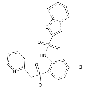 O=S(=O)(Cc1ccccn1)c1ccc(Cl)cc1NS(=O)(=O)c1cc2ccccc2o1